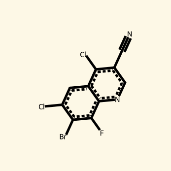 N#Cc1cnc2c(F)c(Br)c(Cl)cc2c1Cl